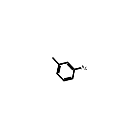 [CH2]C(=O)c1cccc(C)c1